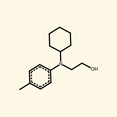 Cc1ccc(N(CCO)C2CCCCC2)cc1